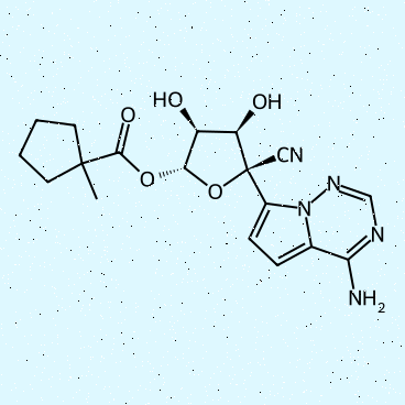 CC1(C(=O)O[C@H]2O[C@@](C#N)(c3ccc4c(N)ncnn34)[C@H](O)[C@@H]2O)CCCC1